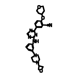 N#Cc1cc(-c2ncnc(Nc3cccc(N4CCN(C5COC5)CC4)c3)n2)ccc1OC1CCOCC1